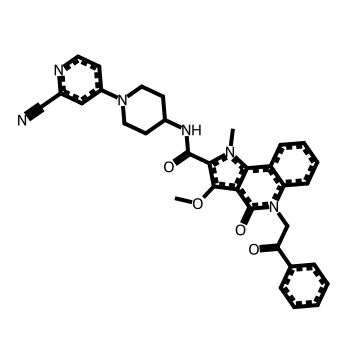 COc1c(C(=O)NC2CCN(c3ccnc(C#N)c3)CC2)n(C)c2c1c(=O)n(CC(=O)c1ccccc1)c1ccccc21